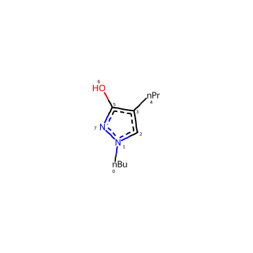 CCCCn1cc(CCC)c(O)n1